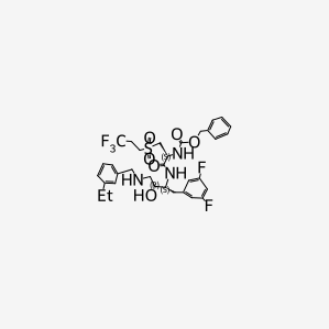 CCc1cccc(CNC[C@@H](O)[C@H](Cc2cc(F)cc(F)c2)NC(=O)[C@@H](CS(=O)(=O)CCC(F)(F)F)NC(=O)OCc2ccccc2)c1